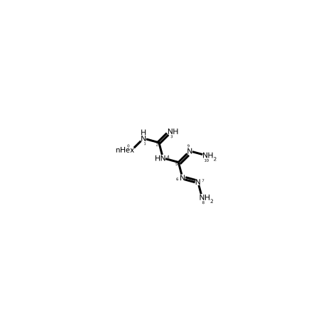 CCCCCCNC(=N)NC(N=NN)=NN